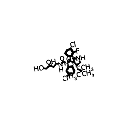 CC(C)(C)C[C@H]1CN[C@@H](c2cccc(Cl)c2F)[C@]12C(=O)N(C(=O)NCC[C@H](O)CO)c1cc(Cl)ccc12